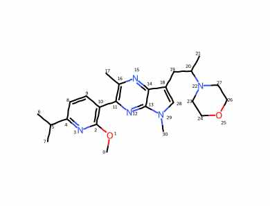 COc1nc(C(C)C)ccc1-c1nc2c(nc1C)c(CC(C)N1CCOCC1)cn2C